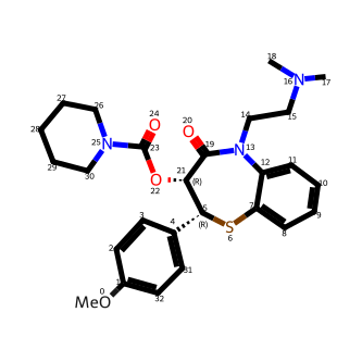 COc1ccc([C@H]2Sc3ccccc3N(CCN(C)C)C(=O)[C@H]2OC(=O)N2CCCCC2)cc1